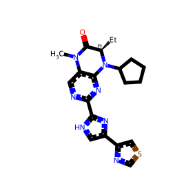 CC[C@@H]1C(=O)N(C)c2cnc(-c3nc(-c4cscn4)c[nH]3)nc2N1C1CCCC1